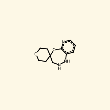 c1cnc2c(c1)NNCC1(CCOCC1)O2